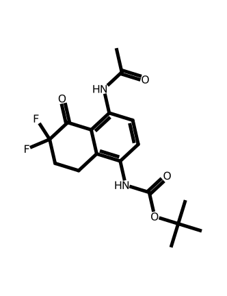 CC(=O)Nc1ccc(NC(=O)OC(C)(C)C)c2c1C(=O)C(F)(F)CC2